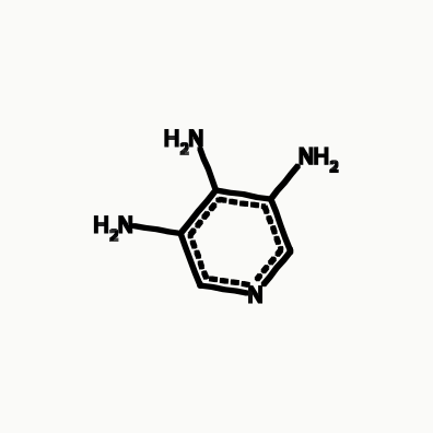 Nc1cncc(N)c1N